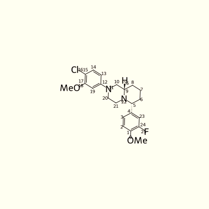 COc1ccc([C@H]2CCC[C@H]3CN(c4ccc(Cl)c(OC)c4)CCN32)cc1F